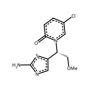 COC[C@H](c1cnc(N)s1)n1cc(Cl)ccc1=O